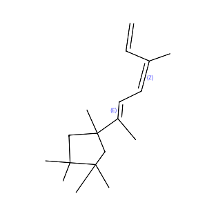 C=C/C(C)=C\C=C(/C)C1(C)CC(C)(C)C(C)(C)C1